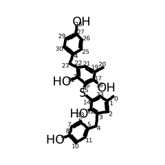 Cc1cc(Cc2ccc(O)cc2)c(O)c(Sc2c(O)c(C)cc(Cc3ccc(O)cc3)c2O)c1